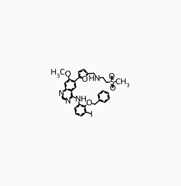 COc1cc2ncnc(Nc3cccc(I)c3OCc3ccccc3)c2cc1-c1ccc(CNCCS(C)(=O)=O)o1